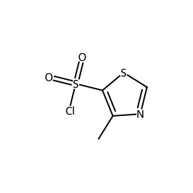 Cc1ncsc1S(=O)(=O)Cl